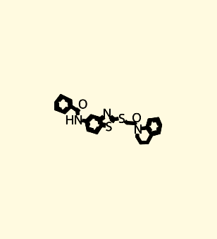 O=C(Nc1ccc2sc(SCC(=O)N3CCCc4ccccc43)nc2c1)c1ccccc1